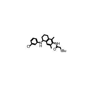 Cc1cc2c(c(C)c1NC(=O)CC(C)(C)C)CCCC2Nc1cccc(Cl)c1